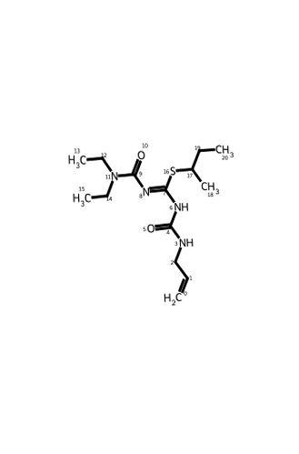 C=CCNC(=O)NC(=NC(=O)N(CC)CC)SC(C)CC